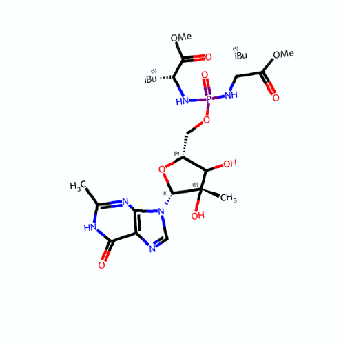 CC[C@H](C)C(NP(=O)(NC(C(=O)OC)[C@@H](C)CC)OC[C@H]1O[C@@H](n2cnc3c(=O)[nH]c(C)nc32)[C@@](C)(O)C1O)C(=O)OC